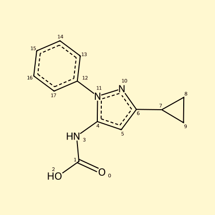 O=C(O)Nc1cc(C2CC2)nn1-c1ccccc1